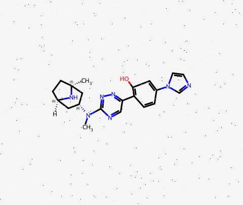 CN(c1ncc(-c2ccc(-n3ccnc3)cc2O)nn1)[C@@H]1C[C@H]2CC[C@@](C)(C1)N2